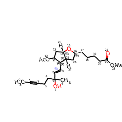 CC#CCCC(C)(O)/C=C/[C@H]1C(OC(C)=O)C[C@@H]2O[C@H](CCCCC(=O)OC)C[C@@H]21